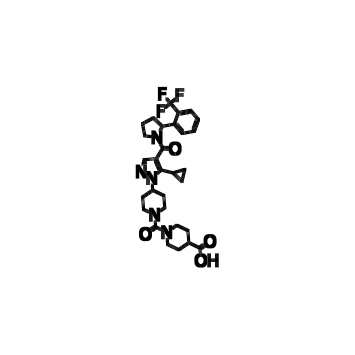 O=C(O)C1CCN(C(=O)N2CCC(n3ncc(C(=O)N4CCCC4c4ccccc4C(F)(F)F)c3C3CC3)CC2)CC1